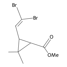 COC(=O)C1C(C=C(Br)Br)C1(C)C